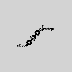 CCCCCCCCCCCc1ccc(-c2ncc(-c3ccc(OCC(F)CCCCCCC)cc3)cn2)cc1